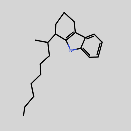 CCCCCCCC(C)C1CCCC2=C1[N]c1ccccc12